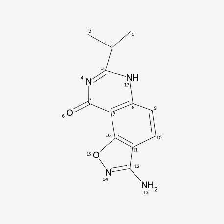 CC(C)c1nc(=O)c2c(ccc3c(N)noc32)[nH]1